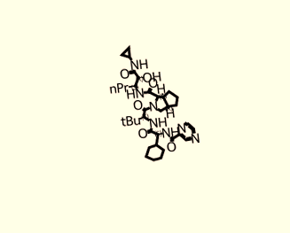 CCC[C@H](NC(=O)C1[C@H]2CCC[C@H]2CN1C(=O)[C@@H](NC(=O)[C@@H](NC(=O)c1cnccn1)C1CCCCC1)C(C)(C)C)[C@@H](O)C(=O)NC1CC1